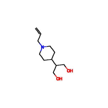 C=CCN1CCC(C(CO)CO)CC1